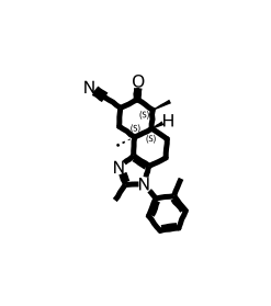 Cc1ccccc1-n1c(C)nc2c1CC[C@H]1[C@H](C)C(=O)C(C#N)C[C@]21C